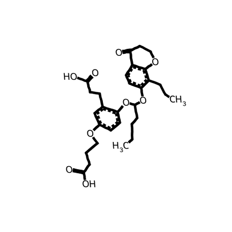 CCCCC(Oc1ccc(OCCCC(=O)O)cc1CCC(=O)O)Oc1ccc2c(c1CCC)OCCC2=O